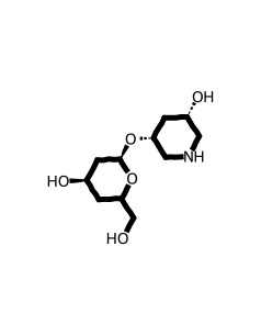 OCC1C[C@@H](O)C[C@@H](O[C@H]2CNC[C@@H](O)C2)O1